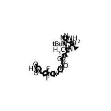 Cc1nc(-c2c(-c3nn(C(C)(C)C)c4ncnc(N)c34)noc2C2CC2)ncc1C1CN(C(=O)OCC(=O)N2CCC(CN3CCN(c4c(F)cc(CN5CCC(=O)NC5=O)cc4F)CC3)CC2)C1